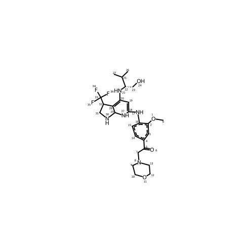 COc1cc(C(=O)CN2CCOCC2)ccc1NC1=CC(N[C@@H](CO)C(C)C)=C2C(NCC2C(F)(F)F)N1